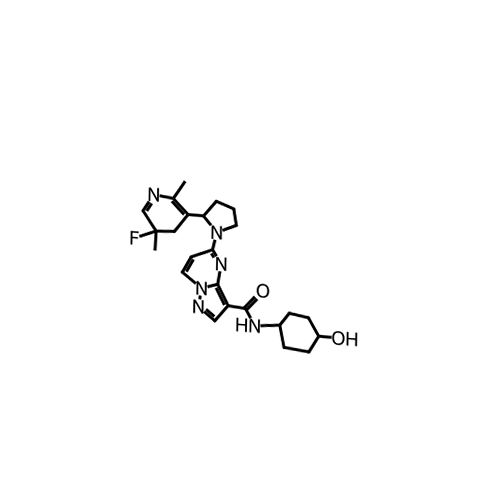 CC1=C(C2CCCN2c2ccn3ncc(C(=O)NC4CCC(O)CC4)c3n2)CC(C)(F)C=N1